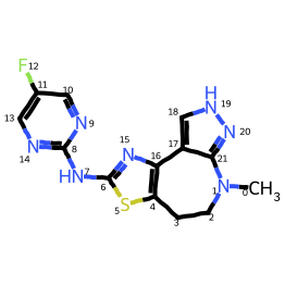 CN1CCc2sc(Nc3ncc(F)cn3)nc2-c2c[nH]nc21